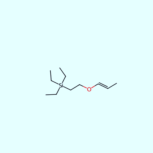 CC=COCC[Si](CC)(CC)CC